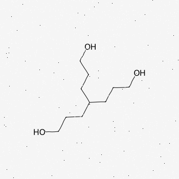 OCCC[C](CCCO)CCCO